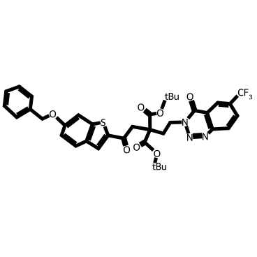 CC(C)(C)OC(=O)C(CCn1nnc2ccc(C(F)(F)F)cc2c1=O)(CC(=O)c1cc2ccc(OCc3ccccc3)cc2s1)C(=O)OC(C)(C)C